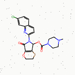 CN1CCN(C(=O)OC2C3=C(OCCS3)C(=O)N2c2ccc3ccc(Cl)cc3n2)CC1